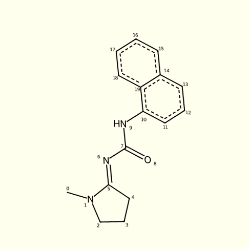 CN1CCCC1=NC(=O)Nc1cccc2ccccc12